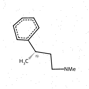 CNCC[C@H](C)c1ccccc1